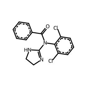 O=C(c1ccccc1)N(C1=NCCN1)c1c(Cl)cccc1Cl